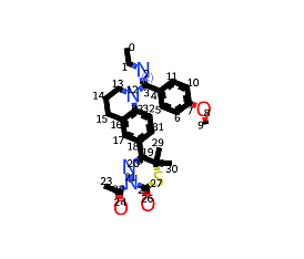 CC/N=C(/c1ccc(OC)cc1)N1CCCc2cc(C3=NN(C(C)=O)C(=O)SC3(C)C)ccc21